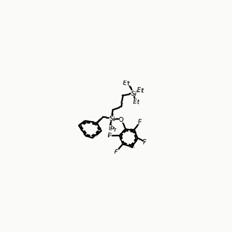 CC[Si](CC)(CC)CCC[Si](Cc1ccccc1)(Oc1c(F)c(F)[c]c(F)c1F)C(C)C